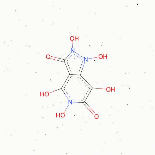 O=c1c(O)c2c(c(O)n1O)c(=O)n(O)n2O